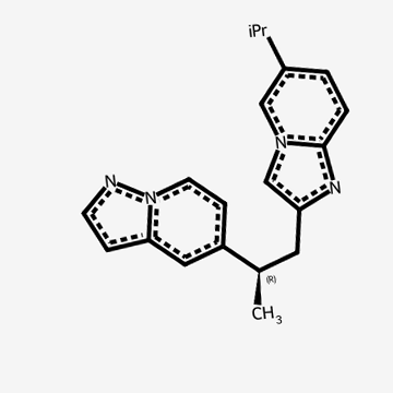 CC(C)c1ccc2nc(C[C@@H](C)c3ccn4nccc4c3)cn2c1